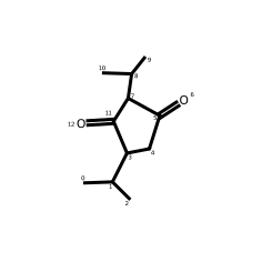 CC(C)C1CC(=O)C(C(C)C)C1=O